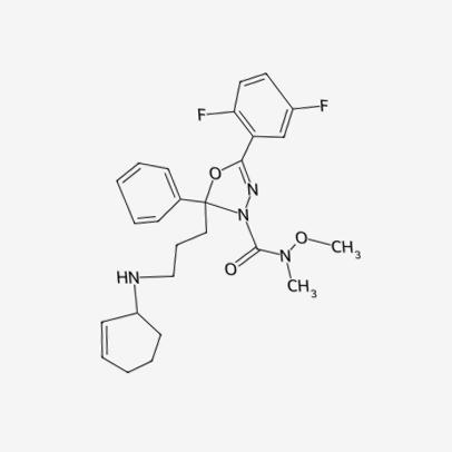 CON(C)C(=O)N1N=C(c2cc(F)ccc2F)OC1(CCCNC1C=CCCC1)c1ccccc1